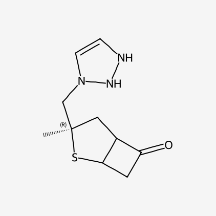 C[C@]1(CN2C=CNN2)CC2C(=O)CC2S1